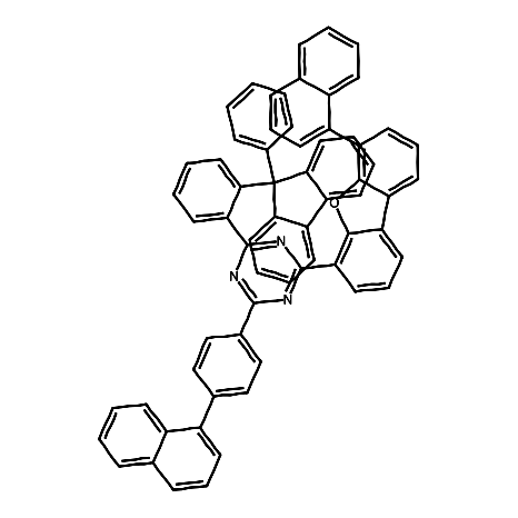 c1ccc(C2(c3ccccc3-c3nc(-c4ccc(-c5cccc6ccccc56)cc4)nc(-c4cccc5c4oc4c(-c6cccc7ccccc67)cccc45)n3)c3ccccc3-c3ccccc32)cc1